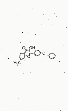 Cc1ccc2c(=O)c(O)c(-c3ccc(OCc4ccccc4)cc3)oc2c1